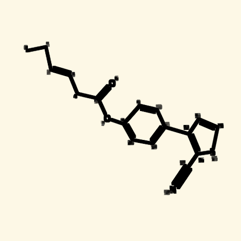 CCC=CCC(=O)Oc1ccc(-c2ccsc2C#N)cc1